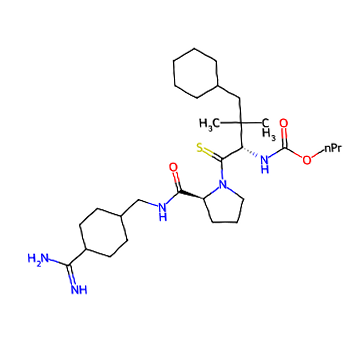 CCCOC(=O)N[C@H](C(=S)N1CCC[C@H]1C(=O)NCC1CCC(C(=N)N)CC1)C(C)(C)CC1CCCCC1